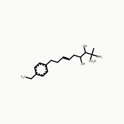 CC(N)(C(=O)O)C(O)C(O)C/C=C/CCc1ccc(CC(F)(F)F)cc1